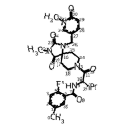 Cc1ccc(F)c(C(=O)N[C@@H](C(=O)N2CCC3(CC2)C(=O)N(C)C(=O)N3Cc2ccc(=O)n(C)c2)C(C)C)c1